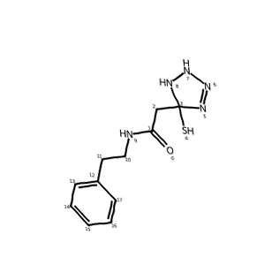 O=C(CC1(S)N=NNN1)NCCc1ccccc1